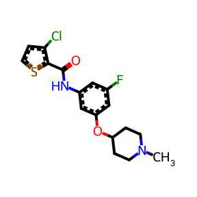 CN1CCC(Oc2cc(F)cc(NC(=O)c3sccc3Cl)c2)CC1